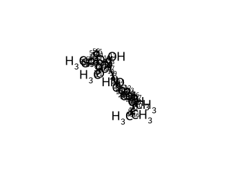 COc1ccc(C(OCC2CC(O)CN2C(=O)CCCCCNC(=O)O[C@@H]2CC[C@]3(C)C(=CCC4C5CCC(C(C)CCCC(C)C)[C@]5(C)CCC43)C2)(c2ccccc2)c2ccc(OC)cc2)cc1